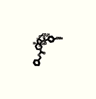 COc1ccc(S(=O)(=O)N2[C@@H](OC(=O)O)C[C@@H]3CCN(C(=O)OCc4ccccc4)C[C@@H]32)cc1